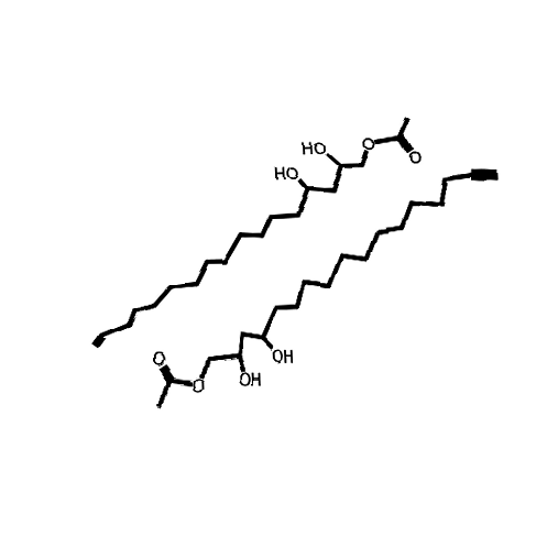 C#CCCCCCCCCCCCC(O)CC(O)COC(C)=O.C=CCCCCCCCCCCCC(O)CC(O)COC(C)=O